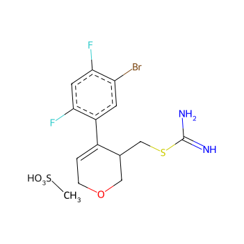 CS(=O)(=O)O.N=C(N)SCC1COCC=C1c1cc(Br)c(F)cc1F